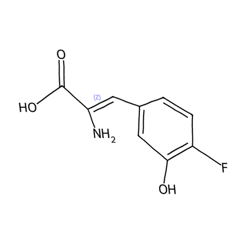 N/C(=C\c1ccc(F)c(O)c1)C(=O)O